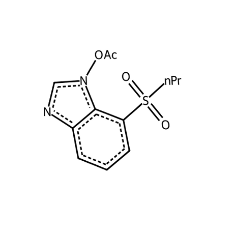 CCCS(=O)(=O)c1cccc2ncn(OC(C)=O)c12